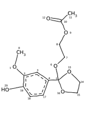 COc1cc(C2(OCCOC(C)=O)OCCO2)ccc1O